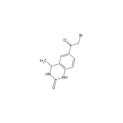 CC1NC(=O)Nc2ccc(C(=O)CBr)cc21